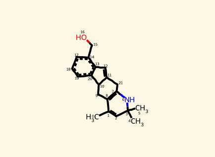 CC1=CC(C)(C)NC2=C1CC1C(=Cc3c(CO)cccc31)C2